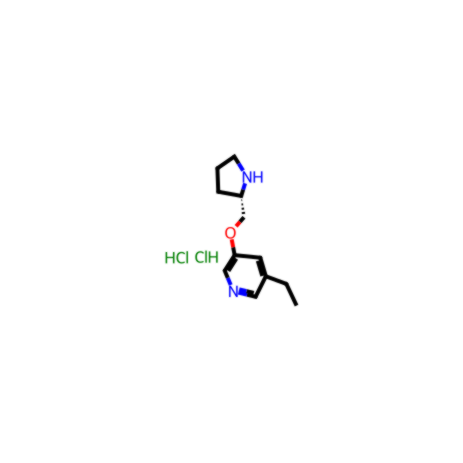 CCc1cncc(OC[C@@H]2CCCN2)c1.Cl.Cl